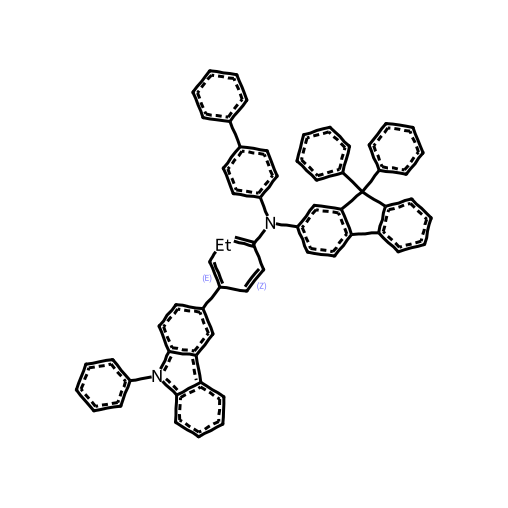 C=C(/C=C\C(=C/CC)c1ccc2c(c1)c1ccccc1n2-c1ccccc1)N(c1ccc(-c2ccccc2)cc1)c1ccc2c(c1)C(c1ccccc1)(c1ccccc1)c1ccccc1-2